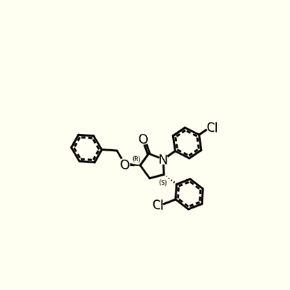 O=C1[C@H](OCc2ccccc2)C[C@@H](c2ccccc2Cl)N1c1ccc(Cl)cc1